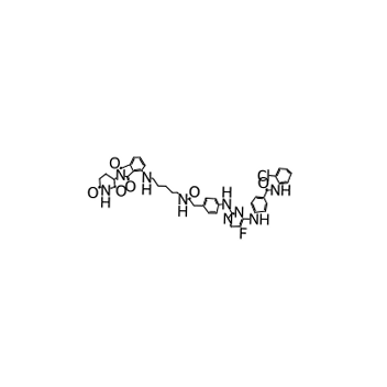 O=C(Cc1ccc(Nc2ncc(F)c(Nc3ccc(C(=O)Nc4ccccc4Cl)cc3)n2)cc1)NCCCCCNc1cccc2c1C(=O)N(C1CCC(=O)NC1=O)C2=O